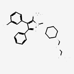 CSc1c(-c2cccc(Cl)c2)c(-c2ccccc2)nn1C[C@H]1CC[C@H](COCC(=O)O)CC1